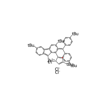 CCC1C=C(C(C)(C)C)C=C1c1c2c(cc(C(C)(C)C)c1=C(c1ccc(C(C)(C)C)cc1)c1ccc(C(C)(C)C)cc1)=c1cc(C(C)(C)C)ccc1=[C]2[Zr+2].[Cl-].[Cl-]